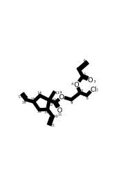 C=CC(=O)OC(CCl)COC(=O)C1(C)CC(C=C)CC1C=C